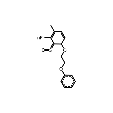 CCCC1=C(C)C=CC(OCCOc2ccccc2)C1=S=O